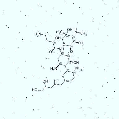 CN[C@@H]1[C@@H](O)[C@@H](O[C@H]2[C@H](NC(=O)[C@@H](O)CCN)C[C@H](N)C([C@H]3OC(CNCC(O)CO)=CC[C@H]3N)[C@@H]2O)OC[C@]1(C)O